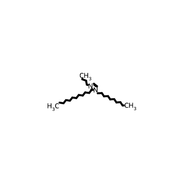 CCCCCCCCCCCc1n(CCCCCCCCCC)cc[n+]1CCCC